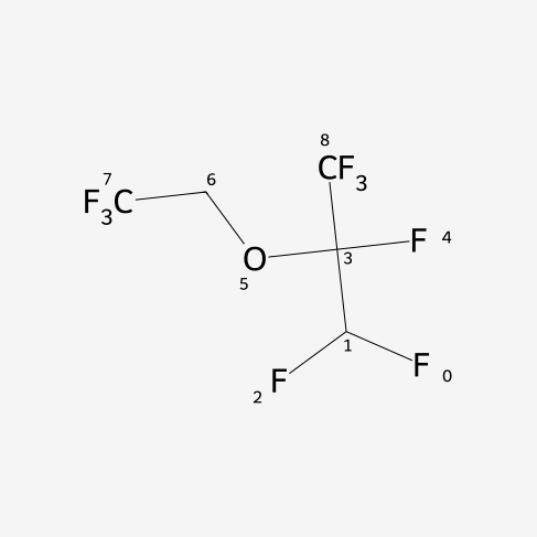 FC(F)C(F)(OCC(F)(F)F)C(F)(F)F